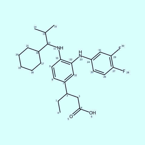 CCC(CC(=O)O)c1ccc(NC(C(C)C)C2CCCCC2)c(Nc2ccc(F)c(F)c2)c1